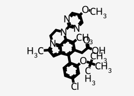 COc1cnc(N2CCn3c(C)cc4c(-c5ccc(Cl)cc5OC(C)(C)C)c(CC(=O)O)c(C)c2c43)nc1